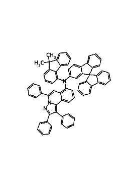 CC1(C)c2ccccc2-c2c(N(c3ccc4c(c3)C3(c5ccccc5-c5ccccc53)c3ccccc3-4)c3cccc4c3cc(-c3ccccc3)n3nc(-c5ccccc5)c(-c5ccccc5)c43)cccc21